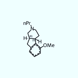 CCCN1CC[C@@H]2c3c(cccc3OC)C[C@H]2C1